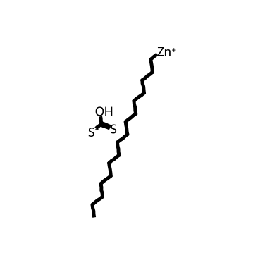 CCCCCCCCCCCCCCC[CH2][Zn+].OC(=S)[S-]